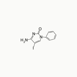 Nc1nc(=O)n(-c2ccccc2)cc1I